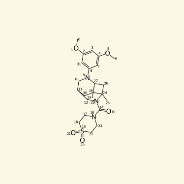 COc1cc(OC)cc(N2CC3CN(C(=O)N4CCS(=O)(=O)CC4)C4(C)CC2C4(C)C3)c1